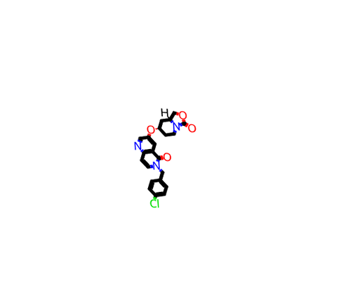 O=C1OC[C@@H]2C[C@@H](Oc3cnc4ccn(Cc5ccc(Cl)cc5)c(=O)c4c3)CCN12